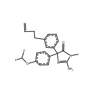 C=CCCc1cccc(C2(c3ccc(OC(F)F)cc3)N=C(N)N(C)C2=O)c1